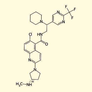 CN[C@H]1CCN(c2ccc3c(C(=O)NCC(c4cnc(C(F)(F)F)nc4)N4CCCCC4)c(Cl)ccc3n2)C1